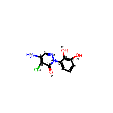 Nc1cnn(-c2cccc(O)c2O)c(=O)c1Cl